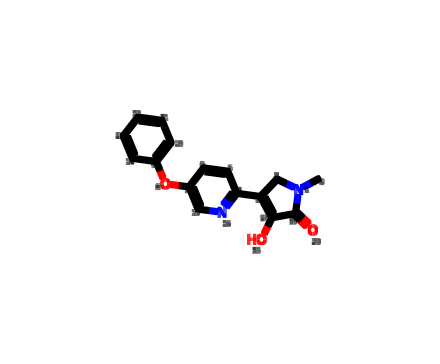 CN1CC(c2ccc(Oc3ccccc3)cn2)=C(O)C1=O